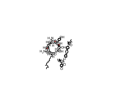 CCC(C)CC(C)CCCCCCCCC(=O)N[C@H]1C[C@@H](O)[C@H](NCCN)NC(=O)[C@@H]2[C@@H](O)CCN2C(=O)[C@H]([C@@H](O)CCN)NC(=O)[C@H]([C@H](O)[C@@H](O)c2ccc(O)cc2)NC(=O)[C@@H]2C[C@@H](O)CN2C(=O)[C@H]([C@@H](C)O)NC1=O.CCC(C)n1ncn(-c2ccc(N3CCN(c4ccc(OC[C@H]5CO[C@](Cn6cncn6)(c6ccc(Cl)cc6Cl)O5)cc4)CC3)cc2)c1=O